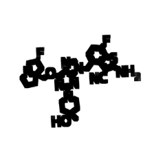 CC1(O)CCN(c2nc(OC[C@@]34CCCN3C[C@H](F)C4)c3ncn(Cc4ccc(F)c5sc(N)c(C#N)c45)c3n2)CC1